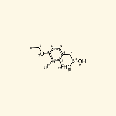 CCOc1ccc(CB(O)O)c(F)c1F